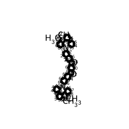 C[Si]1(C)c2ccccc2-c2c(N(c3ccccc3)c3ccc4cc5c(cc4c3)oc3cc4oc6cc7cc(N(c8ccccc8)c8cccc9c8-c8ccccc8[Si]9(C)C)ccc7cc6c4cc35)cccc21